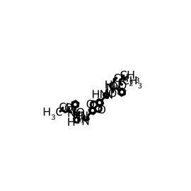 C=CCCN(Cc1ncc(-c2cc3c4c(c2)OCc2cc(-c5cnc([C@@H]6CCCN6C(=O)[C@H](NC(=O)CC(C)C)c6ccccc6)[nH]5)cc(c2-4)OC3)[nH]1)C(=O)[C@H](NC(=O)CC(C)C)c1ccccc1